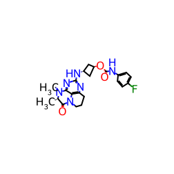 C[C@H]1C(=O)N2CCCc3nc(N[C@H]4C[C@H](OC(=O)Nc5ccc(F)cc5)C4)nc(c32)N1C